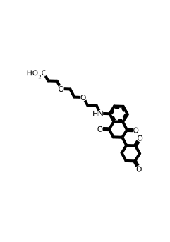 O=C(O)CCOCCOCCNc1cccc2c1C(=O)CC(C1CCC(=O)CC1=O)C2=O